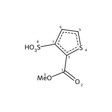 COC(=O)c1sccc1S(=O)(=O)O